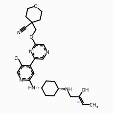 C/C=C(\O)CN[C@H]1CC[C@H](Nc2cc(-c3cncc(OCC4(C#N)CCOCC4)n3)c(Cl)cn2)CC1